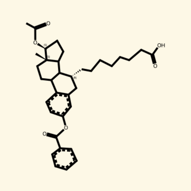 CC(=O)O[C@H]1CCC2C3C(CC[C@@]21C)c1ccc(OC(=O)c2ccccc2)cc1C[C@H]3CCCCCCCC(=O)O